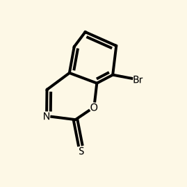 S=c1ncc2cccc(Br)c2o1